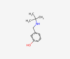 CC(C)(C)NCc1cccc(O)c1